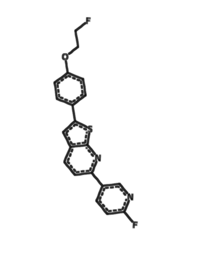 FCCOc1ccc(-c2cc3ccc(-c4ccc(F)nc4)nc3s2)cc1